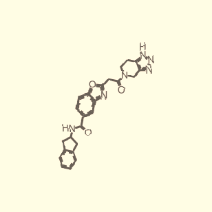 O=C(NC1Cc2ccccc2C1)c1ccc2oc(CC(=O)N3CCc4[nH]nnc4C3)nc2c1